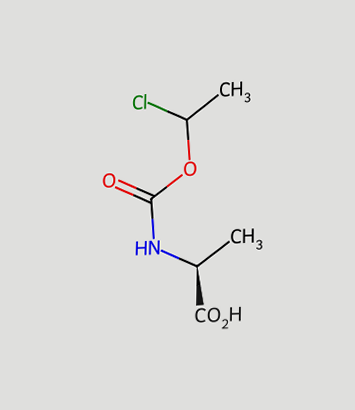 CC(Cl)OC(=O)N[C@@H](C)C(=O)O